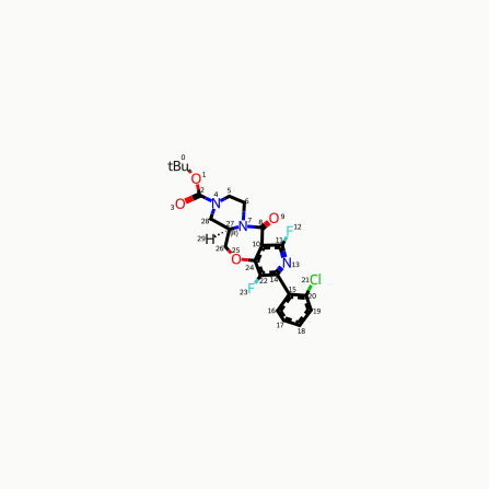 CC(C)(C)OC(=O)N1CCN2C(=O)c3c(F)nc(-c4ccccc4Cl)c(F)c3OC[C@H]2C1